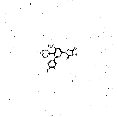 Cc1cc(N2CC(=O)NC2=S)cc(-c2ccc(F)c(F)c2)c1N1CCOCC1